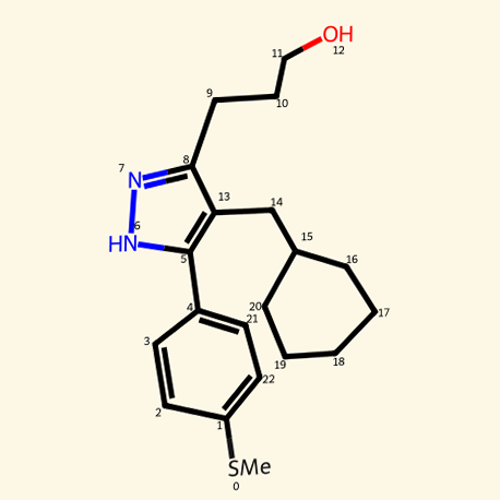 CSc1ccc(-c2[nH]nc(CCCO)c2CC2CCCCC2)cc1